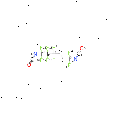 O=C=NC(F)(F)CCC(F)(F)C(F)(F)C(F)(F)N=C=O